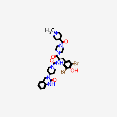 CN1CCC(C(=O)N2CCN(C(=O)[C@@H](Cc3cc(Br)c(O)c(Br)c3)NC(=O)N3CCC(N4Cc5ccccc5NC4=O)CC3)CC2)CC1